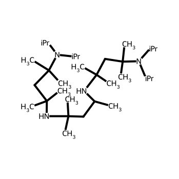 CC(CC(C)(C)NC(C)(C)CC(C)(C)N(C(C)C)C(C)C)NC(C)(C)CC(C)(C)N(C(C)C)C(C)C